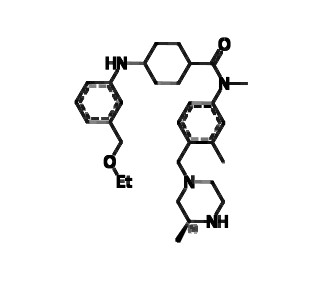 CCOCc1cccc(NC2CCC(C(=O)N(C)c3ccc(CN4CCN[C@@H](C)C4)c(C)c3)CC2)c1